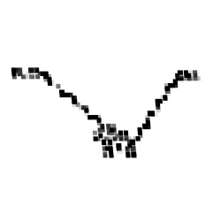 CCCCCCCCC=CCCCCCCCC(=O)OP(=S)(OCl)OC(=O)CCCCCCCC=CCCCCCCCC